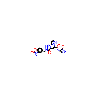 CN1C[C@H](NC(=O)c2cc(C(=O)NCc3ccc4oc(=O)n(C)c4c3)nc3ccnn23)C1=O